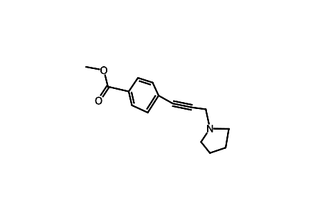 COC(=O)c1ccc(C#CCN2CCCC2)cc1